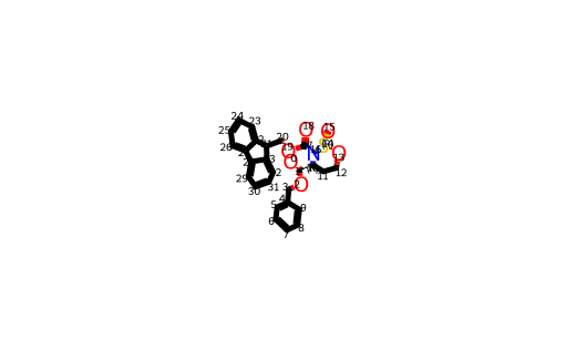 O=C(OCc1ccccc1)[C@H]1CCO[S@@](=O)N1C(=O)OCC1c2ccccc2-c2ccccc21